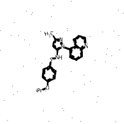 Cc1cc(NSc2ccc(OC(C)C)cc2)n(-c2cccc3ncccc23)n1